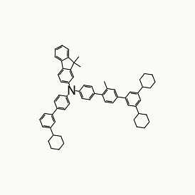 Cc1cc(-c2cc(C3CCCCC3)cc(C3CCCCC3)c2)ccc1-c1ccc(N(c2ccc(-c3cccc(C4CCCCC4)c3)cc2)c2ccc3c(c2)C(C)(C)c2ccccc2-3)cc1